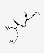 C=CC(=O)OC(=O)C(C)CC